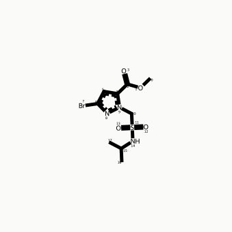 COC(=O)c1cc(Br)nn1CS(=O)(=O)NC(C)C